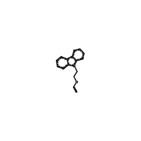 C=COCCn1c2ccccc2c2ccccc21